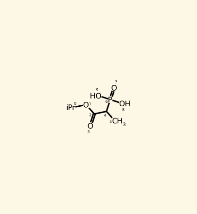 CC(C)OC(=O)C(C)P(=O)(O)O